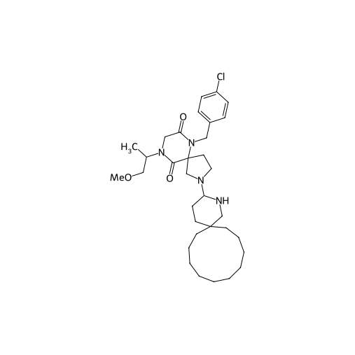 COCC(C)N1CC(=O)N(Cc2ccc(Cl)cc2)C2(CCN(C3CCC4(CCCCCCCCCC4)CN3)C2)C1=O